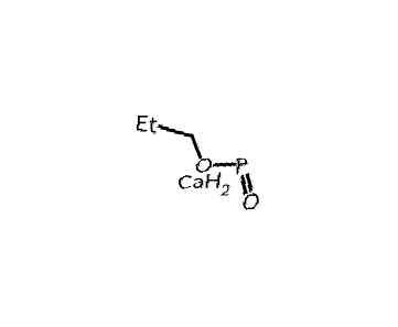 CCCOP=O.[CaH2]